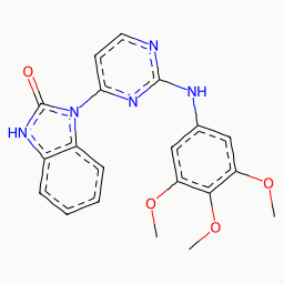 COc1cc(Nc2nccc(-n3c(=O)[nH]c4ccccc43)n2)cc(OC)c1OC